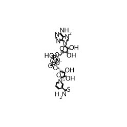 NC(=S)c1ccc[n+]([C@@H]2O[C@H](COP(=O)([O-])OP(=O)(O)OC[C@H]3O[C@@H](n4cnc5c(N)ncnc54)[C@H](O)[C@@H]3O)[C@@H](O)[C@H]2O)c1